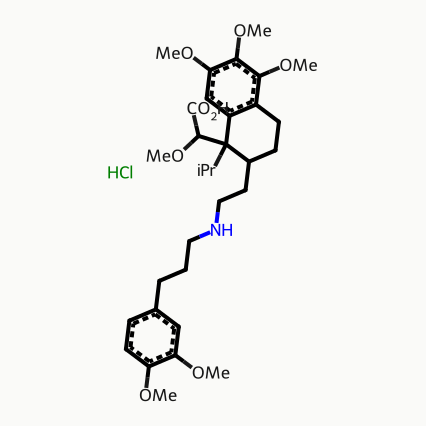 COc1ccc(CCCNCCC2CCc3c(cc(OC)c(OC)c3OC)C2(C(C)C)C(OC)C(=O)O)cc1OC.Cl